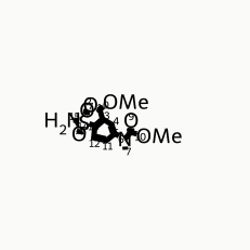 COC(=O)c1cc(N(C)C(=O)OC)ccc1S(N)(=O)=O